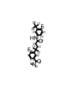 CN(C)C(=O)c1ccc(F)c(C(C)(C)CCC(=O)Nc2ccc(F)c(C(C)(C)C)c2)c1